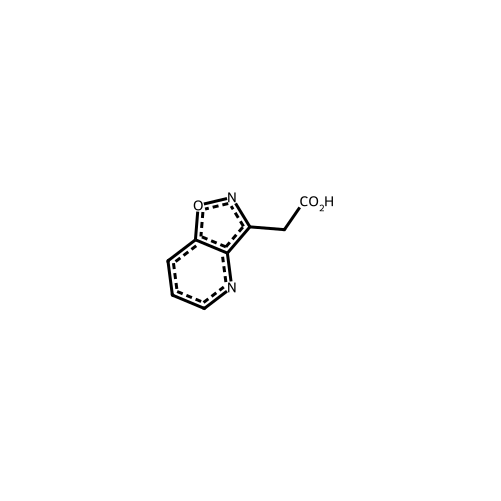 O=C(O)Cc1noc2cccnc12